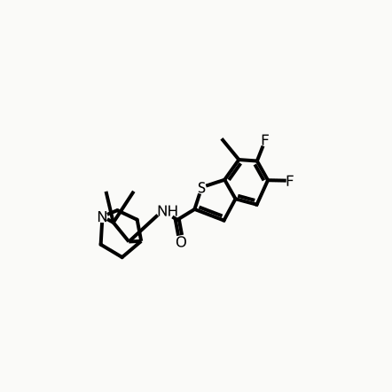 Cc1c(F)c(F)cc2cc(C(=O)NC3C4CCN(CC4)C3(C)C)sc12